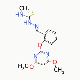 CNC(=S)NN=Cc1ccccc1Oc1nc(OC)cc(OC)n1